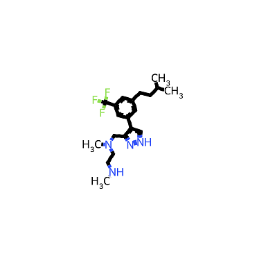 CNCCN(C)Cc1n[nH]cc1-c1cc(CCC(C)C)cc(C(F)(F)F)c1